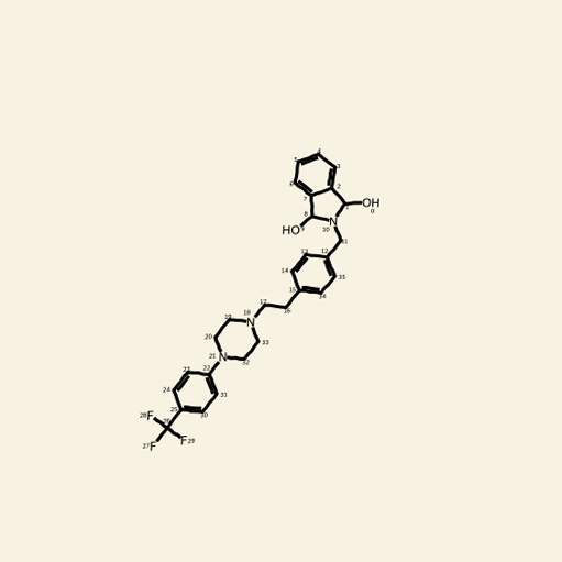 OC1c2ccccc2C(O)N1Cc1ccc(CCN2CCN(c3ccc(C(F)(F)F)cc3)CC2)cc1